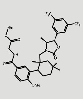 COc1ccc(C(=O)NCC(=O)OC(C)(C)C)cc1C1CCC(C)(C)C[C@@]1(C)CN1C(=O)O[C@H](c2cc(C(F)(F)F)cc(C(F)(F)F)c2)[C@@H]1C